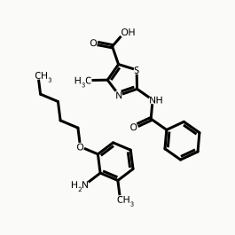 CCCCCOc1cccc(C)c1N.Cc1nc(NC(=O)c2ccccc2)sc1C(=O)O